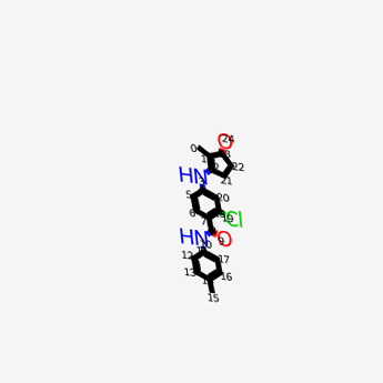 CC1=C(Nc2ccc(C(=O)Nc3ccc(C)cc3)c(Cl)c2)CCC1=O